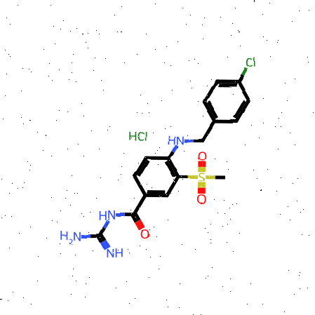 CS(=O)(=O)c1cc(C(=O)NC(=N)N)ccc1NCc1ccc(Cl)cc1.Cl